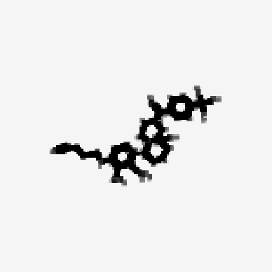 Cc1c(OCCCC#N)ccc([C@H]2CCC[C@H]3CN(C(=O)c4ccc(C(F)(F)F)cc4)CCN32)c1C